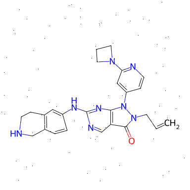 C=CCn1c(=O)c2cnc(Nc3ccc4c(c3)CCNC4)nc2n1-c1ccnc(N2CCC2)c1